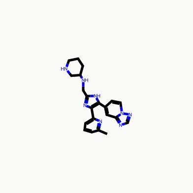 Cc1cccc(-c2nc(CNC3CCCNC3)[nH]c2-c2ccn3ncnc3c2)n1